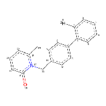 [2H]c1ccccc1-c1ccc(Cn2c(C)cccc2=O)cc1